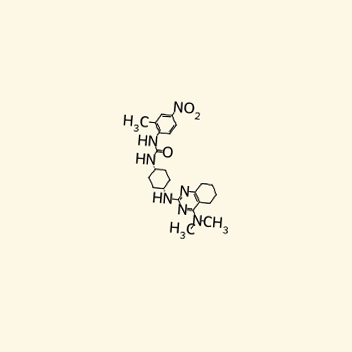 Cc1cc([N+](=O)[O-])ccc1NC(=O)N[C@H]1CC[C@@H](Nc2nc3c(c(N(C)C)n2)CCCC3)CC1